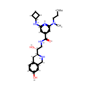 COCCN(C)c1cc(C(=O)NC[C@@H](O)[C@@H]2Cc3ccc(O)cc3CN2)cc(NC2CCC2)n1